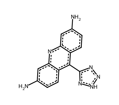 Nc1ccc2c(-c3nn[nH]n3)c3ccc(N)cc3nc2c1